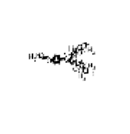 CC(C)(C)OC(=O)NCC(CNC(=O)OC(C)(C)C)NC(=N)c1ccc(OCCON)cc1